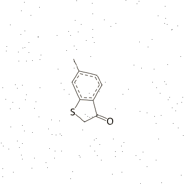 Cc1ccc2c(c1)SCC2=O